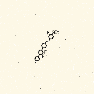 CCOc1ccc(CCC2CCC(c3ccc(-c4ccc(C)cc4)c(F)c3F)CC2)cc1F